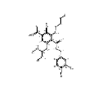 CCCCOc1c(C(=O)NCc2ccc(F)c(I)c2)n(CC(OC)OC)cc(C(C)=O)c1=O